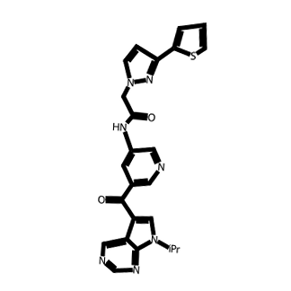 CC(C)n1cc(C(=O)c2cncc(NC(=O)Cn3ccc(-c4cccs4)n3)c2)c2cncnc21